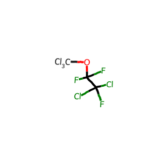 FC(Cl)(Cl)C(F)(F)OC(Cl)(Cl)Cl